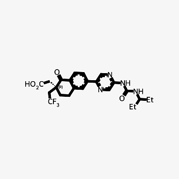 CCC(CC)NC(=O)Nc1cnc(-c2ccc3c(c2)CC[C@@](CC(=O)O)(CC(F)(F)F)C3=O)cn1